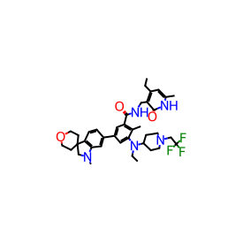 CCc1cc(C)[nH]c(=O)c1CNC(=O)c1cc(-c2ccc3c(c2)N(C)CC32CCOCC2)cc(N(CC)C2CCN(CC(F)(F)F)CC2)c1C